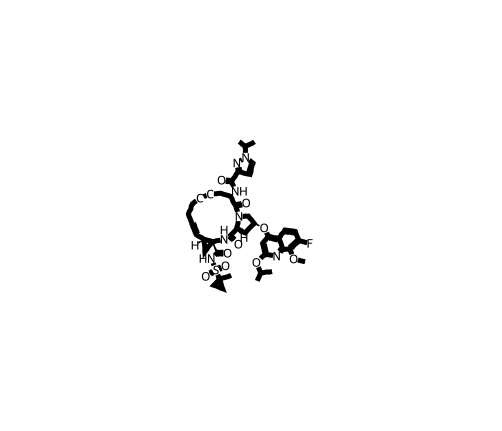 COc1c(F)ccc2c(O[C@@H]3C[C@H]4C(=O)N[C@]5(C(=O)NS(=O)(=O)C6(C)CC6)C[C@H]5/C=C\CCCCC[C@H](NC(=O)c5ccn(C(C)C)n5)C(=O)N4C3)cc(OC(C)C)nc12